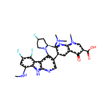 CNc1cc(F)c(F)c2c1[nH]c1ncc(-c3cnc4c(c3)c(=O)c(C(=O)O)cn4C)c(N3C[C@@H](F)C[C@H]3CN(C)C)c12